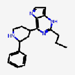 CCCc1nc(C2CCNC(c3ccccc3)C2)c2nccc-2[nH]1